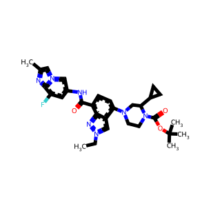 CCn1cc2c(N3CCN(C(=O)OC(C)(C)C)C(C4CC4)C3)ccc(C(=O)Nc3cc(F)c4nc(C)cn4c3)c2n1